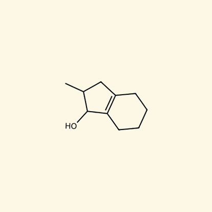 CC1CC2=C(CCCC2)C1O